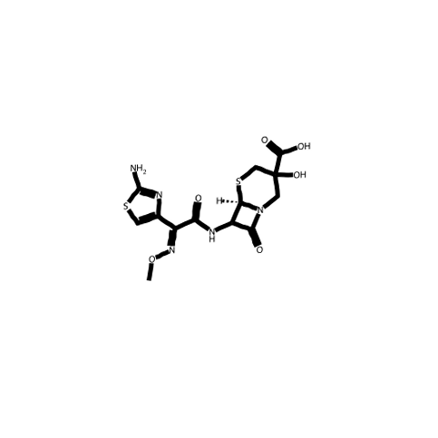 CON=C(C(=O)NC1C(=O)N2CC(O)(C(=O)O)CS[C@H]12)c1csc(N)n1